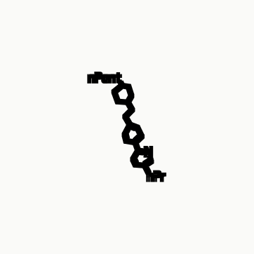 CCCCCC1CCC(CCc2ccc(-c3ccc(CCC)cn3)cc2)CC1